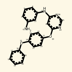 Nc1cccc(Nc2cc(Oc3ccc(Oc4ccccc4)cc3)ncn2)c1